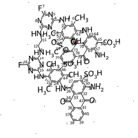 Cc1c(Nc2nc(F)nc(NCCNc3nc(F)nc(Nc4c(C)c(Nc5cc(S(=O)(=O)O)c(N)c6c5C(=O)c5ccccc5C6=O)c(C)c(S(=O)(=O)O)c4C)n3)n2)c(C)c(S(C)(=O)=O)c(C)c1Nc1cc(S(=O)(=O)O)c(N)c2c1C(=O)c1ccccc1C2=O